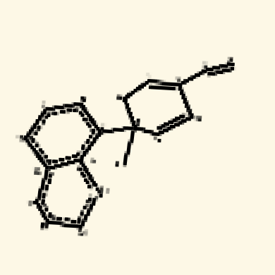 C=CC1=CCC(C)(c2cccc3cccnc23)C=C1